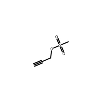 C#CCOS(C)(=O)=O